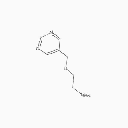 CNCCOCc1cncnc1